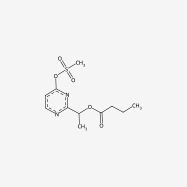 CCCC(=O)OC(C)c1nccc(OS(C)(=O)=O)n1